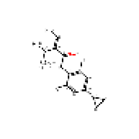 CCC=C(C(=O)Cc1c(C)cc(C2CC2)cc1C)C(CC)C(=O)O